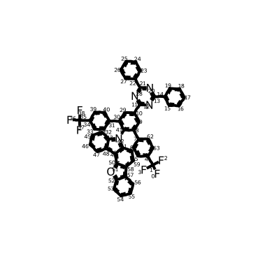 FC(F)(F)c1ccc(-c2cc(-c3nc(-c4ccccc4)nc(-c4ccccc4)n3)cc(-c3ccc(C(F)(F)F)cc3)c2-n2c3ccccc3c3c4oc5ccccc5c4ccc32)cc1